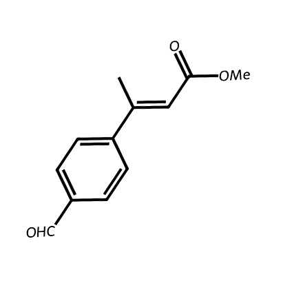 COC(=O)/C=C(\C)c1ccc(C=O)cc1